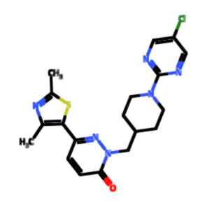 Cc1nc(C)c(-c2ccc(=O)n(CC3CCN(c4ncc(Cl)cn4)CC3)n2)s1